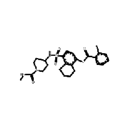 CNC(=O)N1CCC(NS(=O)(=O)c2ccc(NC(=O)c3ccccc3C)c3c2CCCC3)CC1